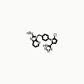 CCCCc1nc2cccnc2n1Cc1ccc(-n2c(Cl)ccc2-c2nnn[nH]2)cc1